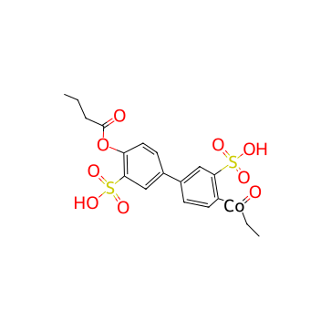 CCCC(=O)Oc1ccc(-c2cc[c]([Co](=[O])[CH2]C)c(S(=O)(=O)O)c2)cc1S(=O)(=O)O